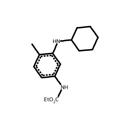 CCOC(=O)Nc1ccc(C)c(NC2CCCCC2)c1